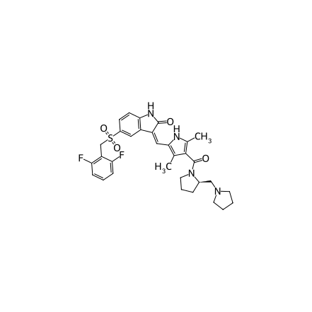 Cc1[nH]c(/C=C2\C(=O)Nc3ccc(S(=O)(=O)Cc4c(F)cccc4F)cc32)c(C)c1C(=O)N1CCC[C@@H]1CN1CCCC1